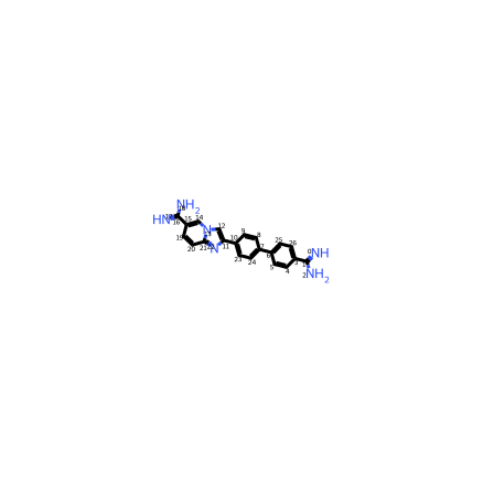 N=C(N)c1ccc(-c2ccc(-c3cn4cc(C(=N)N)ccc4n3)cc2)cc1